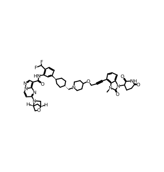 Cn1c(=O)n(C2CCC(=O)NC2=O)c2cccc(C#CCOC3CCN(C[C@H]4CC[C@H](c5ccc(C(F)F)c(NC(=O)c6cnn7ccc(N8C[C@H]9C[C@@H]8CO9)nc67)c5)CC4)CC3)c21